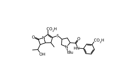 CC(O)C1C(=O)N2C(C(=O)O)=C(SC3CC(C(=O)Nc4cccc(C(=O)O)c4)N(C(C)(C)C)C3)C(C)C12